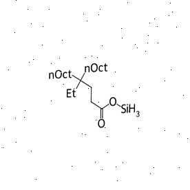 CCCCCCCCC(CC)(CCCCCCCC)CCC(=O)O[SiH3]